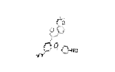 CCCc1ccc(C2=Cc3ccc4c(c3OC2)C=CC(C)(C)O4)c(OCc2ccc(N=O)cc2)c1